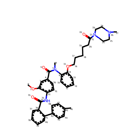 COc1cc(C(=O)N(C)c2ccccc2OCCCCCC(=O)N2CCN(C)CC2)ccc1NC(=O)c1ccccc1-c1ccc(C)cc1